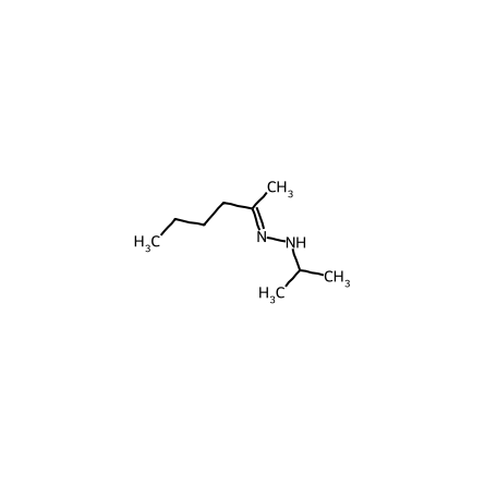 CCCCC(C)=NNC(C)C